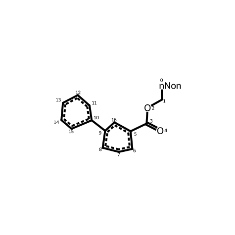 CCCCCCCCCCOC(=O)c1cccc(-c2ccccc2)c1